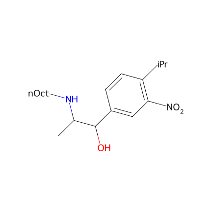 CCCCCCCCNC(C)C(O)c1ccc(C(C)C)c([N+](=O)[O-])c1